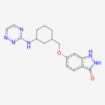 O=c1[nH][nH]c2cc(OCC3CCCC(Nc4nccnn4)C3)ccc12